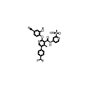 COc1cc(C#N)ccc1Oc1ncc(-c2ccc(C(F)F)cc2)c(C)c1C(=O)Nc1ccnc(S(C)(=N)=O)c1